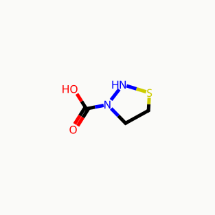 O=C(O)N1CCSN1